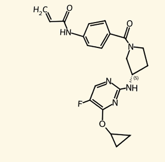 C=CC(=O)Nc1ccc(C(=O)N2CC[C@H](Nc3ncc(F)c(OC4CC4)n3)C2)cc1